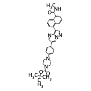 CNC(=O)c1cccc2c(-c3cnn4cc(-c5ccc(N6CCN(C(=O)OC(C)(C)C)CC6)cc5)cnc34)cccc12